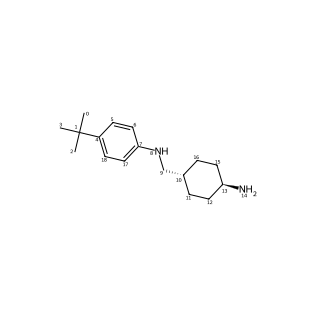 CC(C)(C)c1ccc(NC[C@H]2CC[C@H](N)CC2)cc1